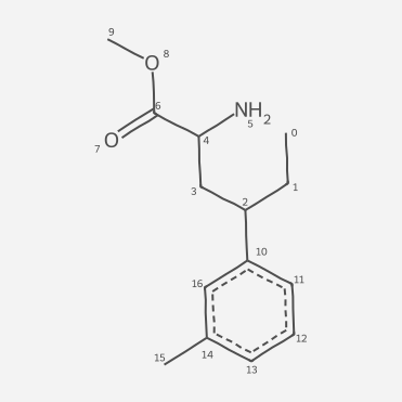 CCC(CC(N)C(=O)OC)c1cccc(C)c1